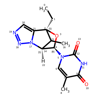 CC[C@]12O[C@@H](n3cc(C)c(=O)[nH]c3=O)[C@H](C1C)n1nncc12